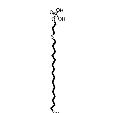 CCCCCCCCCCCCCCCCCSCCCOP(=O)(O)O